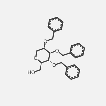 OC[C@H]1OC[C@@H](OCc2ccccc2)[C@@H](OCc2ccccc2)[C@@H]1OCc1ccccc1